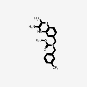 CC1=C(N)Nc2cc(CN(Cc3cccc(C(F)(F)F)c3)C(=O)OC(C)(C)C)ccc2O1